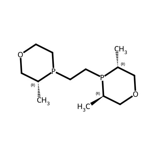 C[C@@H]1COCCP1CCP1[C@H](C)COC[C@H]1C